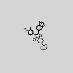 Cc1cc(C2=C(c3ccc4ncnn4c3)OC3(CCC(C4OCCO4)CC3)C2=O)ccc1F